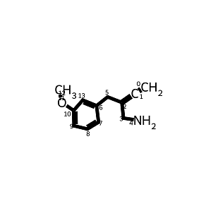 C=C=C(CN)Cc1cccc(OC)c1